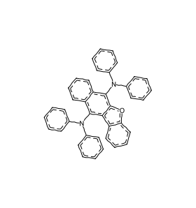 c1ccc(N(c2ccccc2)c2c3ccccc3c(N(c3ccccc3)c3ccccc3)c3c2oc2ccccc23)cc1